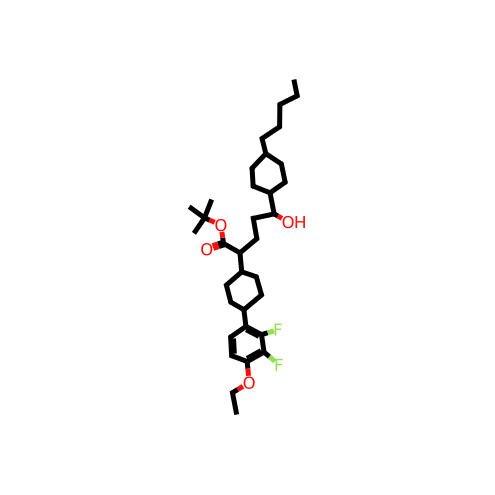 CCCCCC1CCC(C(O)CCC(C(=O)OC(C)(C)C)C2CCC(c3ccc(OCC)c(F)c3F)CC2)CC1